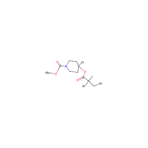 CCC1(OC(=O)C(C)(CC(C)C)C(C)C)CCN(C(=O)OC(C)(C)C)CC1